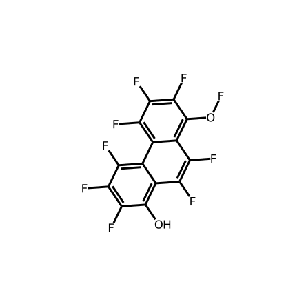 Oc1c(F)c(F)c(F)c2c1c(F)c(F)c1c(OF)c(F)c(F)c(F)c12